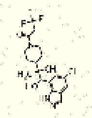 CC(C)(C1CCN(C(=O)CC(F)(F)F)CC1)C(O)c1cc(Cl)cc2cn[nH]c12